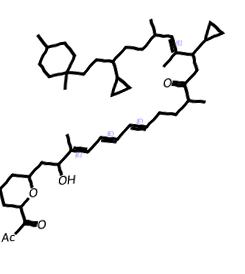 CC(=O)C(=O)C1CCCC(CC(O)/C(C)=C/C=C/C=C/CCC(C)C(=O)CC(/C(C)=C/C(C)CCC(CCC2(C)CCC(C)CC2)C2CC2)C2CC2)O1